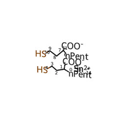 CCCCCC(CCS)C(=O)[O-].CCCCCC(CCS)C(=O)[O-].[CH3][Sn+2][CH3]